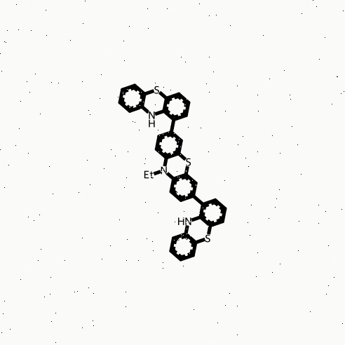 CCN1c2ccc(-c3cccc4c3Nc3ccccc3S4)cc2Sc2cc(-c3cccc4c3Nc3ccccc3S4)ccc21